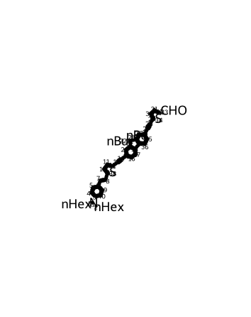 CCCCCCN(CCCCCC)c1ccc(C=Cc2ccc(C#Cc3ccc4c(c3)C(CCCC)(CCCC)c3cc(C#Cc5ccc(C=O)s5)ccc3-4)s2)cc1